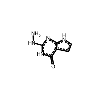 NNc1nc2[nH]ccc2c(=O)[nH]1